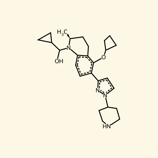 C[C@H]1CCc2c(ccc(-c3ccn(C4CCNCC4)n3)c2OC2CCC2)N1C(O)C1CC1